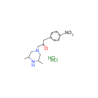 CC1CN(CC(=O)Cc2ccc([N+](=O)[O-])cc2)CC(C)N1.Cl.Cl